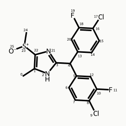 Cc1[nH]c(C(c2ccc(Cl)c(F)c2)c2ccc(Cl)c(F)c2)nc1[S+](C)[O-]